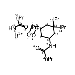 CC(C)[O-].CC(C)[O-].CCCC(=O)NC1CCCC(C(C)C)(C(C)C)C1.CCCC(=O)[NH][Ti+2]